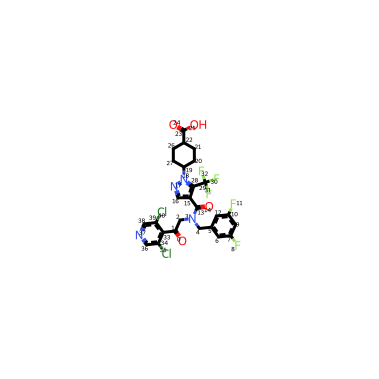 O=C(CN(Cc1cc(F)cc(F)c1)C(=O)c1cnn(C2CCC(C(=O)O)CC2)c1C(F)(F)F)c1c(Cl)cncc1Cl